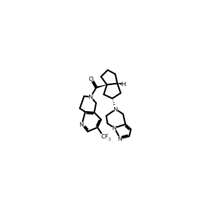 O=C(N1CCc2ncc(C(F)(F)F)cc2C1)[C@@]12CCC[C@@H]1C[C@H](N1CCn3nccc3C1)C2